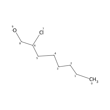 CCCCCCC(Cl)C[O]